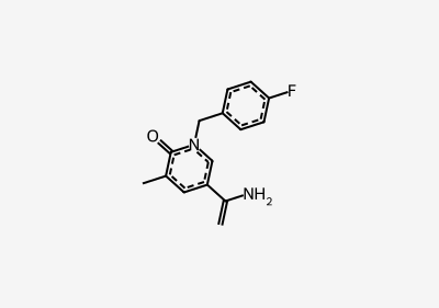 C=C(N)c1cc(C)c(=O)n(Cc2ccc(F)cc2)c1